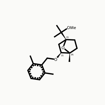 COC(C)(C)[C@@]12CC[C@@](C)(O1)[C@@H](OCc1c(C)cccc1C)C2